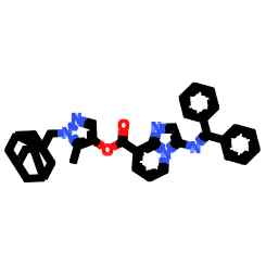 Cc1c(OC(=O)c2cccn3c(N=C(c4ccccc4)c4ccccc4)cnc23)cnn1CC12CC3CC(CC(C3)C1)C2